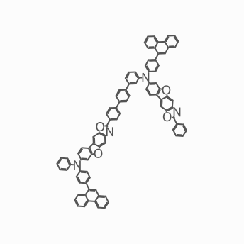 c1ccc(-c2nc3cc4oc5cc(N(c6ccc(-c7cc8ccccc8c8ccccc78)cc6)c6cccc(-c7ccc(-c8ccc(-c9nc%10cc%11oc%12cc(N(c%13ccccc%13)c%13ccc(-c%14cc%15ccccc%15c%15ccccc%14%15)cc%13)ccc%12c%11cc%10o9)cc8)cc7)c6)ccc5c4cc3o2)cc1